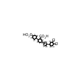 O=C(O)c1ccc(-c2ccc(-c3nc(-c4ccc(Cl)c(Cl)c4)cs3)cc2C(=O)O)cc1